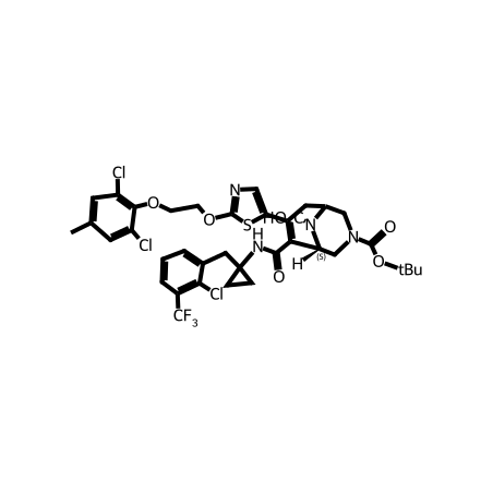 Cc1cc(Cl)c(OCCOc2ncc(C3=C(C(=O)NC4(Cc5cccc(C(F)(F)F)c5Cl)CC4)[C@H]4CN(C(=O)OC(C)(C)C)CC(C3)N4C(=O)O)s2)c(Cl)c1